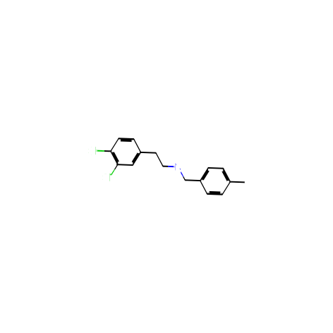 Cc1ccc(CNCCc2ccc(Cl)c(Cl)c2)cc1